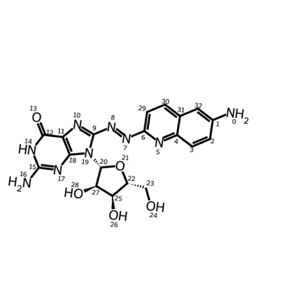 Nc1ccc2nc(N=Nc3nc4c(=O)[nH]c(N)nc4n3[C@@H]3O[C@H](CO)[C@@H](O)[C@H]3O)ccc2c1